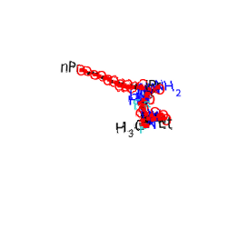 CCCOCCOCCOCCOCCOCCOCCOCCOCCOCCC(=O)NC(C(=O)N[C@@H](CCCNC(N)=O)C(=O)Nc1cc(F)c(COC(=O)N[C@H]2CCc3c(C)c(F)cc4nc5c(c2c34)Cn2c-5cc3c(c2=O)COC(=O)[C@@H]3CC)c(F)c1)C(C)C